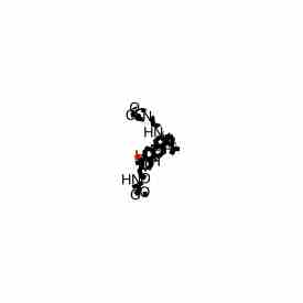 C=C(C)[C@@H]1CC[C@]2(CNCCCN3CCS(=O)(=O)CC3)CC[C@]3(C)[C@H](CC[C@@H]4[C@@]5(C)CCN(CC(=O)NC(C)(C)C(=O)OC)C(C)(C)[C@@H]5CC[C@]43C)[C@@H]12